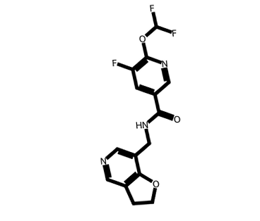 O=C(NCc1cncc2c1OCC2)c1cnc(OC(F)F)c(F)c1